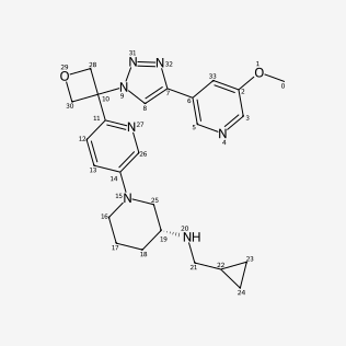 COc1cncc(-c2cn(C3(c4ccc(N5CCC[C@@H](NCC6CC6)C5)cn4)COC3)nn2)c1